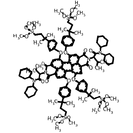 CO[Si](CCC(C)(C)c1ccc(Oc2cc3c4c(cc(Oc5ccc(C(C)(C)CC[Si](OC)(OC)OC)cc5)c5c6c(Oc7ccc(C(C)(C)CC[Si](OC)(OC)OC)cc7)cc7c8c(cc(Oc9ccc(C(C)(C)CC[Si](OC)(OC)OC)cc9)c(c2c45)c86)C(=O)N(C(C(=O)N(C2CCCCC2)C2CCCCC2)C(C)C)C7=O)C(=O)N(C(C(=O)N(C2CCCCC2)C2CCCCC2)C(C)C)C3=O)cc1)(OC)OC